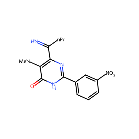 CCCC(=N)c1nc(-c2cccc([N+](=O)[O-])c2)[nH]c(=O)c1NC